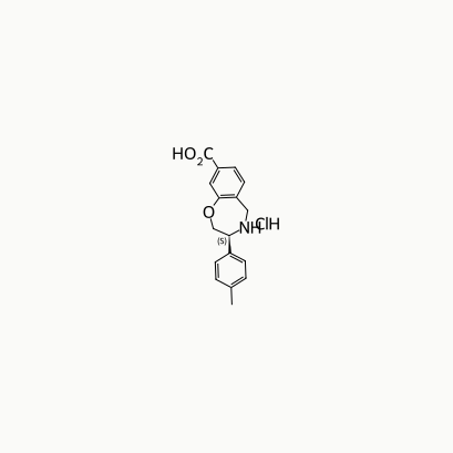 Cc1ccc([C@H]2COc3cc(C(=O)O)ccc3CN2)cc1.Cl